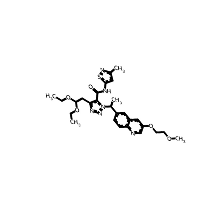 CCOC(Cc1nnn(C(C)c2ccc3ncc(OCCOC)cc3c2)c1C(=O)Nc1cc(C)ns1)OCC